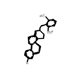 CCc1ccc2c(c1)=CCc1c3c(ccc1=2)=CC(Cc1c(C(=O)O)cccc1C(=O)O)CC3